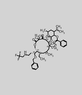 CCN1C[C@H](C)C[C@@](C)(OC)[C@H](OC2OC(C)CC(N(C)C)C2OC(=O)c2ccccc2)[C@@H](C)C(=O)C(C)(C)C(=O)OC[C@H]1[C@@H](CCNCC(F)(F)F)OCc1ccccc1